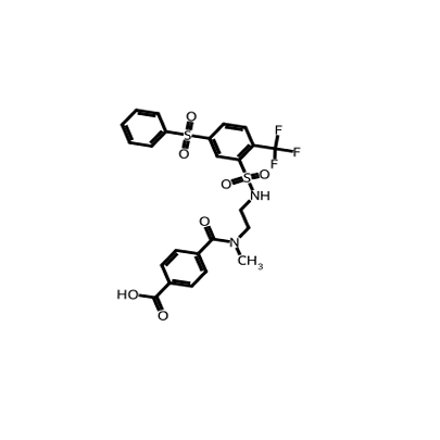 CN(CCNS(=O)(=O)c1cc(S(=O)(=O)c2ccccc2)ccc1C(F)(F)F)C(=O)c1ccc(C(=O)O)cc1